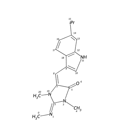 CN=C1N(C)C(=O)C(=Cc2c[nH]c3cc(C(C)C)ccc23)N1C